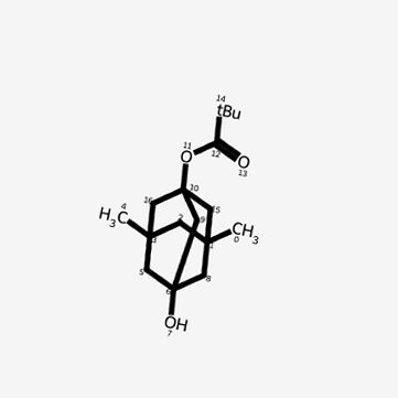 CC12CC3(C)CC(O)(C1)CC(OC(=O)C(C)(C)C)(C2)C3